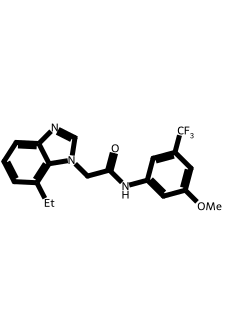 CCc1cccc2ncn(CC(=O)Nc3cc(OC)cc(C(F)(F)F)c3)c12